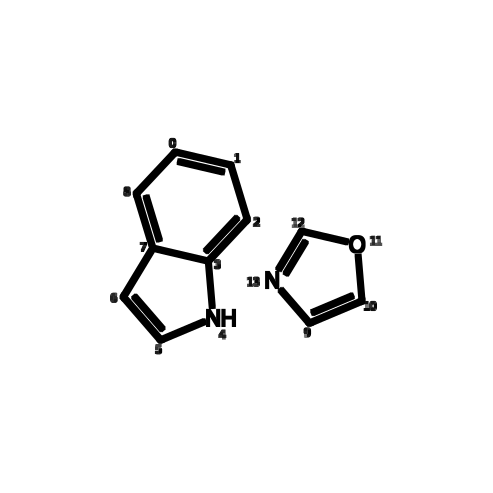 c1ccc2[nH]ccc2c1.c1cocn1